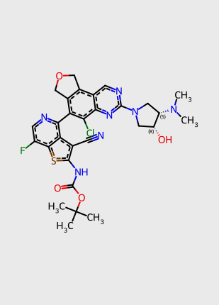 CN(C)[C@H]1CN(c2ncc3c4c(c(-c5ncc(F)c6sc(NC(=O)OC(C)(C)C)c(C#N)c56)c(Cl)c3n2)COC4)C[C@H]1O